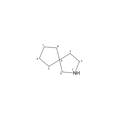 [CH]1NCCC12CCCC2